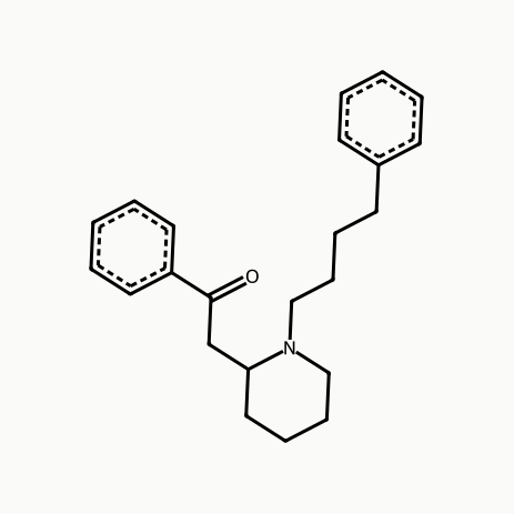 O=C(CC1CCCCN1CCCCc1ccccc1)c1ccccc1